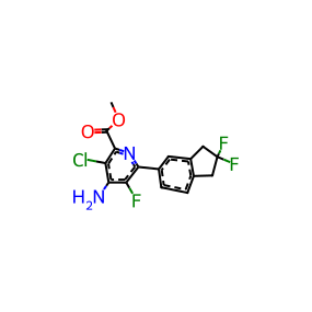 COC(=O)c1nc(-c2ccc3c(c2)CC(F)(F)C3)c(F)c(N)c1Cl